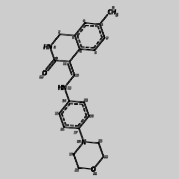 Cc1ccc2c(c1)CNC(=O)/C2=C\Nc1ccc(N2CCOCC2)cc1